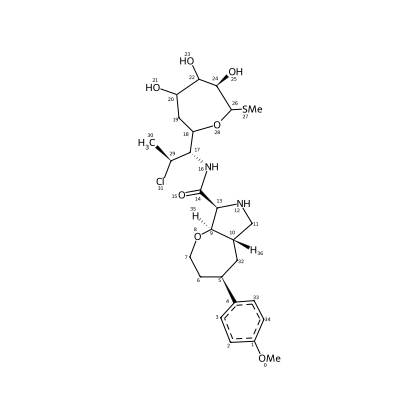 COc1ccc([C@H]2CCO[C@@H]3[C@H](CN[C@@H]3C(=O)N[C@@H](C3CC(O)C(O)[C@@H](O)C(SC)O3)[C@H](C)Cl)C2)cc1